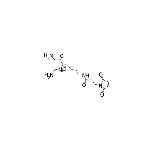 NCN[C@@H](CCCCNC(=O)CCN1C(=O)C=CC1=O)C(=O)CN